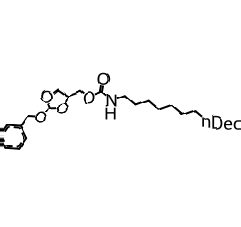 CCCCCCCCCCCCCCCCCNC(=O)OCC1COC(OCc2ccccc2)O1